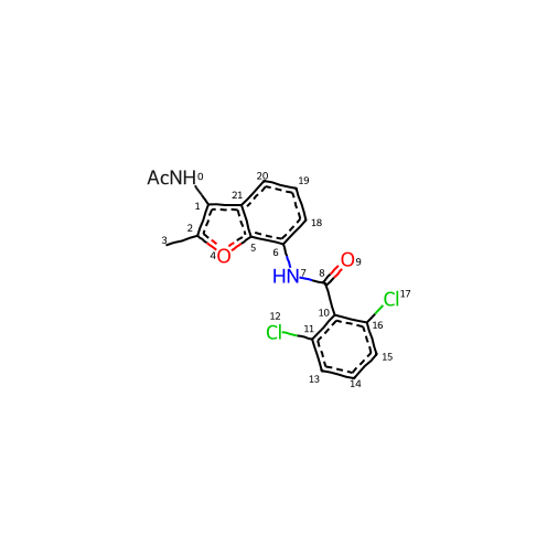 CC(=O)Nc1c(C)oc2c(NC(=O)c3c(Cl)cccc3Cl)cccc12